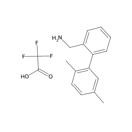 Cc1ccc(C)c(-c2ccccc2CN)c1.O=C(O)C(F)(F)F